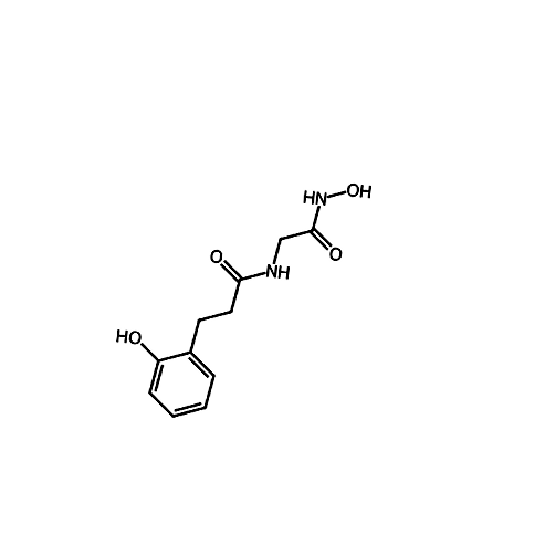 O=C(CNC(=O)CCc1ccccc1O)NO